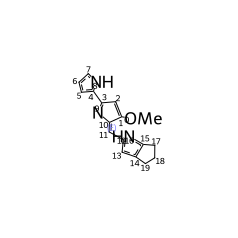 COC1=CC(c2ccc[nH]2)=N/C1=C/c1cc2c([nH]1)CCC2